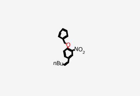 CCCC/C=C\c1ccc(OCc2ccccc2)c([N+](=O)[O-])c1